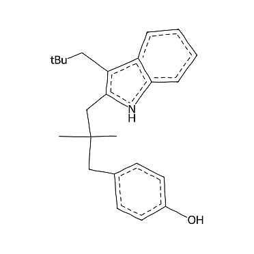 CC(C)(C)Cc1c(CC(C)(C)Cc2ccc(O)cc2)[nH]c2ccccc12